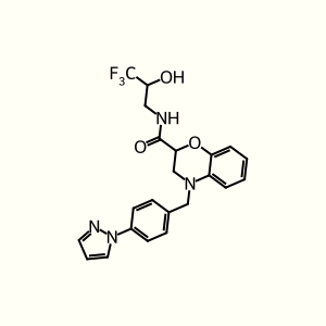 O=C(NCC(O)C(F)(F)F)C1CN(Cc2ccc(-n3cccn3)cc2)c2ccccc2O1